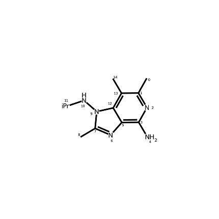 Cc1nc(N)c2nc(C)n(NC(C)C)c2c1C